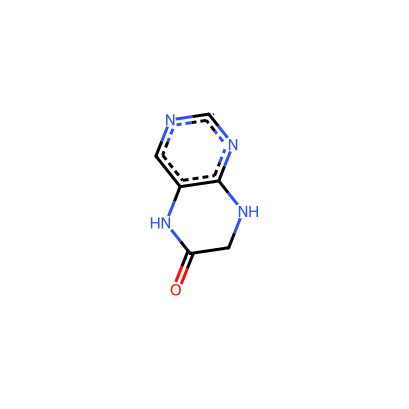 O=C1CNc2n[c]ncc2N1